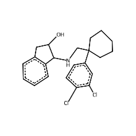 OC1Cc2ccccc2C1NCC1(c2ccc(Cl)c(Cl)c2)CCCCC1